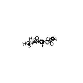 O=C(c1cnccc1Cl)N1CCN(c2ccc(N3CC(CNC(O)=S)OC3=O)cc2F)CC1